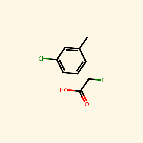 Cc1cccc(Cl)c1.O=C(O)CF